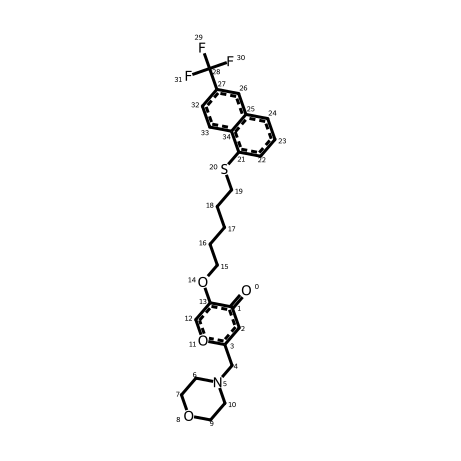 O=c1cc(CN2CCOCC2)occ1OCCCCCSc1cccc2cc(C(F)(F)F)ccc12